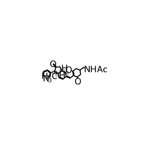 CC(=O)NCC1CC(=O)C2=C(C1)O[C@@H]1C(=C2)C=C[C@]2(C)[C@@H](c3cccnc3)C(=O)C[C@@H]12